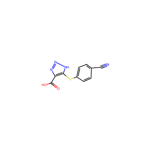 N#Cc1ccc(Sc2[nH]nnc2C(=O)O)cc1